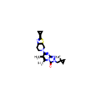 Cc1c(N2CCc3nc(C4CC4)sc3C2)nc2nn(CC3(C#N)CC3)c(=O)n2c1C